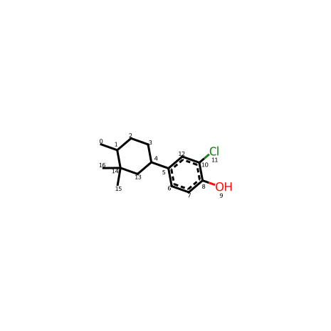 CC1CCC(c2ccc(O)c(Cl)c2)CC1(C)C